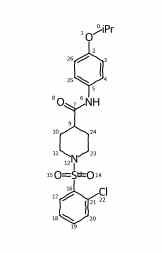 CC(C)Oc1ccc(NC(=O)C2CCN(S(=O)(=O)c3ccccc3Cl)CC2)cc1